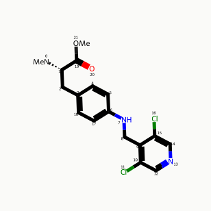 CN[C@@H](Cc1ccc(NCc2c(Cl)cncc2Cl)cc1)C(=O)OC